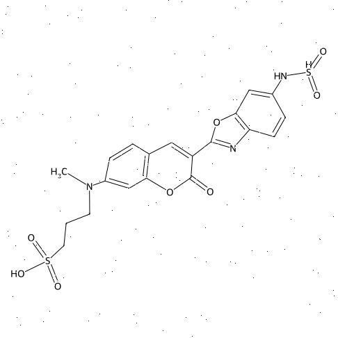 CN(CCCS(=O)(=O)O)c1ccc2cc(-c3nc4ccc(N[SH](=O)=O)cc4o3)c(=O)oc2c1